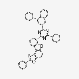 c1ccc(-c2nc(-c3cc(-c4ccccc4)c4ccccc4c3)nc(-c3cccc4c3oc3ccc5oc(-c6ccccc6)nc5c34)n2)cc1